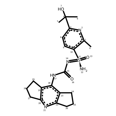 Cc1nc(C(C)(C)O)ccc1[S@](N)(=O)=NC(=O)Nc1c2c(nc3c1CCC3)CCC2